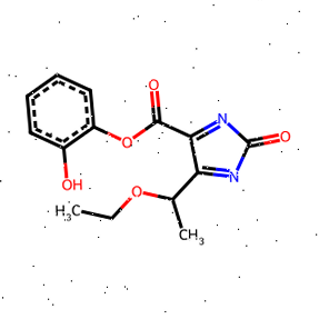 CCOC(C)C1=NC(=O)N=C1C(=O)Oc1ccccc1O